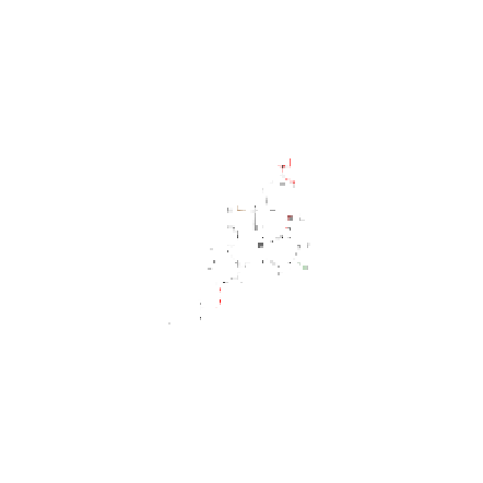 COCOc1ccc(-c2csc(/C=C/C(=O)O)c2-c2ccc(Cl)cc2OC)cc1